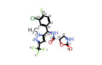 Cn1nc(C(F)(F)F)cc1C(NC(=O)[C@@H]1CNC(=O)O1)c1ccc(F)c(Cl)c1